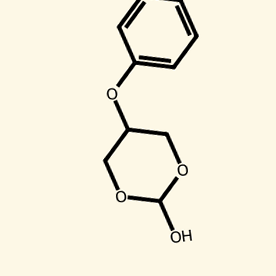 OC1OCC(Oc2ccccc2)CO1